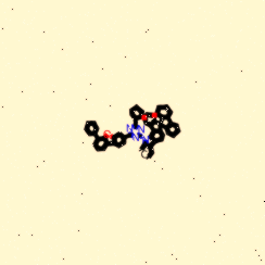 c1ccc(-c2nc(-c3ccc4c(c3)oc3c(-c5ccccc5)cccc34)nc(-n3c4ccccc4c4ccc5c(c43)-c3ccccc3C53c4ccccc4-c4ccccc43)n2)cc1